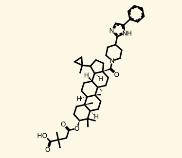 CC(C)(CC(=O)O[C@H]1CC[C@]2(C)[C@H]3CC[C@@H]4[C@H]5C(C6(C)CC6)CC[C@]5(C(=O)N5CCC(c6ncc(-c7ccccc7)[nH]6)CC5)CC[C@@]4(C)[C@]3(C)CC[C@H]2C1(C)C)C(=O)O